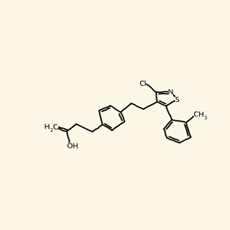 C=C(O)CCc1ccc(CCc2c(Cl)nsc2-c2ccccc2C)cc1